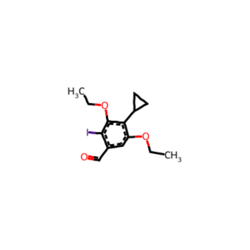 CCOc1cc(C=O)c(I)c(OCC)c1C1CC1